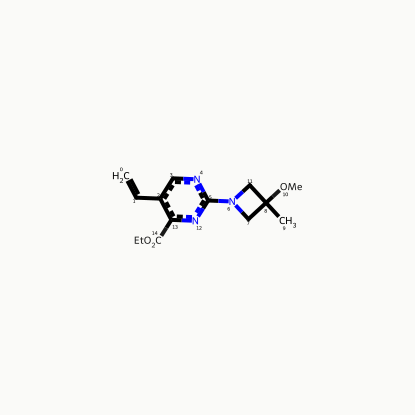 C=Cc1cnc(N2CC(C)(OC)C2)nc1C(=O)OCC